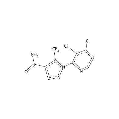 NC(=O)c1cnn(-c2nccc(Cl)c2Cl)c1C(F)(F)F